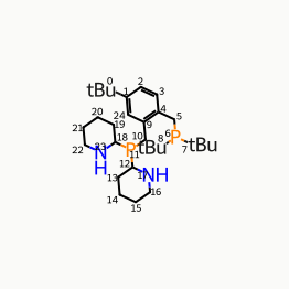 CC(C)(C)c1ccc(CP(C(C)(C)C)C(C)(C)C)c(CP(C2CCCCN2)C2CCCCN2)c1